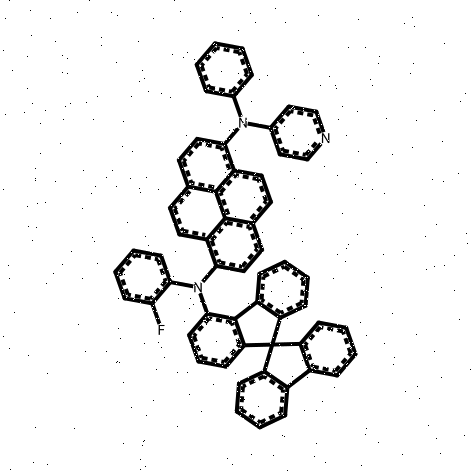 Fc1ccccc1N(c1cccc2c1-c1ccccc1C21c2ccccc2-c2ccccc21)c1ccc2ccc3c(N(c4ccccc4)c4ccncc4)ccc4ccc1c2c43